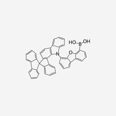 OB(O)c1cccc2c1oc1c(-n3c4ccccc4c4ccc5c(c43)-c3ccccc3C53c4ccccc4-c4ccccc43)cccc12